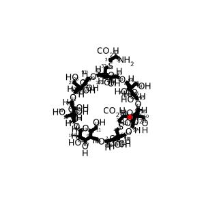 N[C@H](CSCC1O[C@H]2O[C@@H]3C(CO)O[C@H](O[C@@H]4C(CO)O[C@H](O[C@@H]5C(CO)O[C@H](O[C@@H]6C(CSC[C@@H](N)C(=O)O)O[C@H](O[C@@H]7C(CO)O[C@@H](O[C@@H]8C(CO)O[C@@H](O[C@H]1C(O)[C@@H]2O)[C@@H](O)C8O)[C@@H](O)C7O)C(O)[C@H]6O)C(O)[C@H]5O)C(O)[C@H]4O)[C@@H](O)C3O)C(=O)O